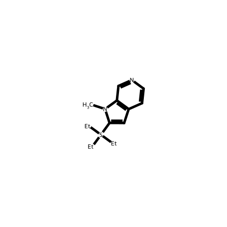 CCS(CC)(CC)c1cc2ccncc2n1C